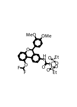 CCS(=O)(=O)N(C(=O)Nc1ccc2c(c1)C(c1ccc(OC)c(OC)c1)Oc1cccc(OC(F)F)c1-2)S(=O)(=O)CC